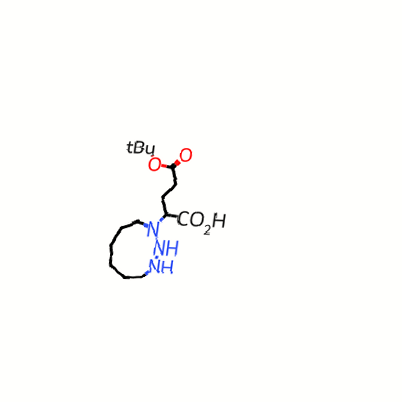 CC(C)(C)OC(=O)CCC(C(=O)O)N1CCCCCCNN1